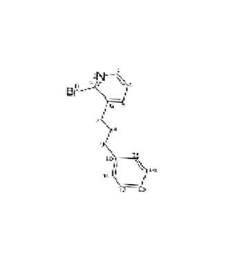 Brc1ncccc1CCCc1ccccc1